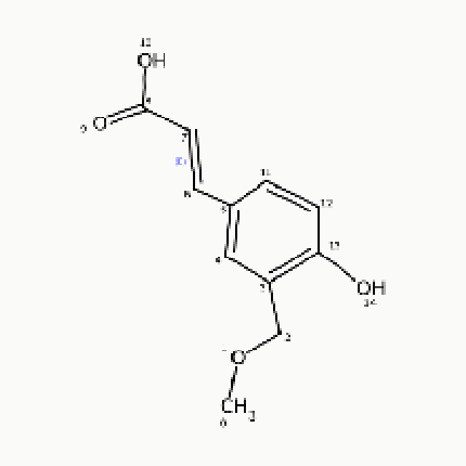 COCc1cc(/C=C/C(=O)O)ccc1O